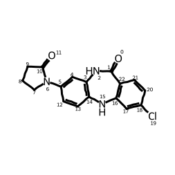 O=C1Nc2cc(N3CCCC3=O)ccc2Nc2cc(Cl)ccc21